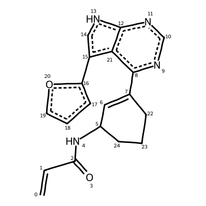 C=CC(=O)NC1C=C(c2ncnc3[nH]cc(-c4ccco4)c23)CCC1